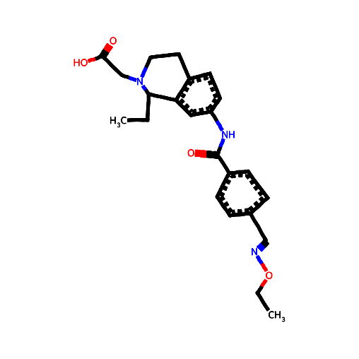 CCON=Cc1ccc(C(=O)Nc2ccc3c(c2)C(CC)N(CC(=O)O)CC3)cc1